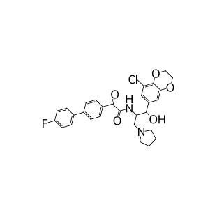 O=C(NC(CN1CCCC1)C(O)c1cc(Cl)c2c(c1)OCCO2)C(=O)c1ccc(-c2ccc(F)cc2)cc1